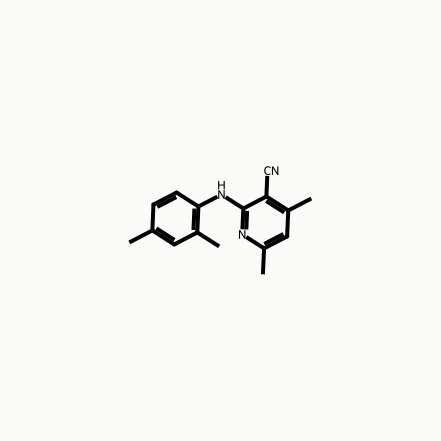 Cc1ccc(Nc2nc(C)cc(C)c2C#N)c(C)c1